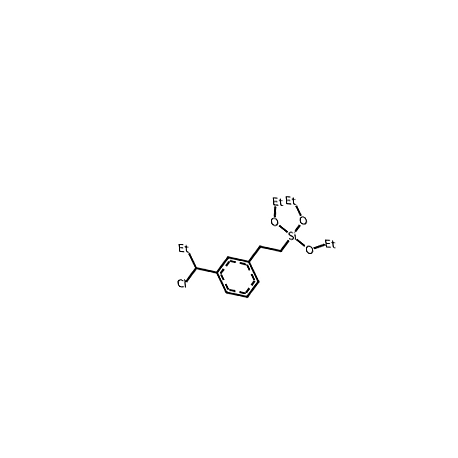 CCO[Si](CCc1cccc(C(Cl)CC)c1)(OCC)OCC